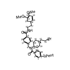 CCCCCc1ccc(C(=O)N(Cc2ccc(C(=O)NCCC3C=CC(OC)=C(OC)C3)cc2)C2CCN(CCC(C)C)CC2)nc1